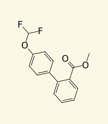 COC(=O)c1ccccc1-c1ccc(OC(F)F)cc1